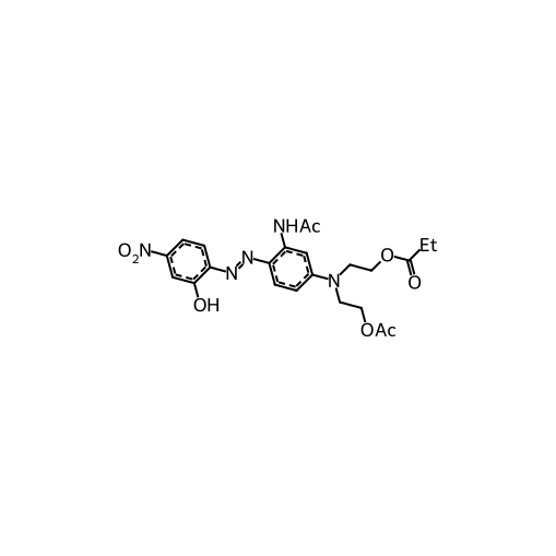 CCC(=O)OCCN(CCOC(C)=O)c1ccc(/N=N/c2ccc([N+](=O)[O-])cc2O)c(NC(C)=O)c1